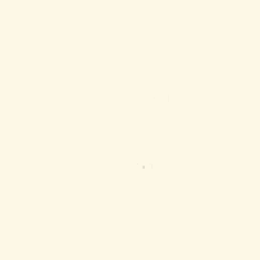 CCCO[B-]1(C)OCCCO1